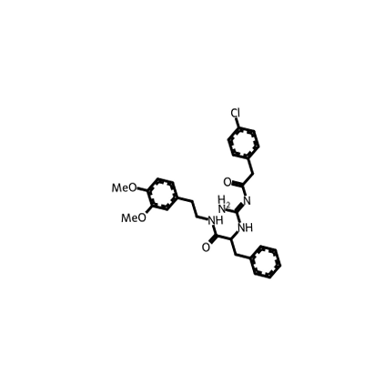 COc1ccc(CCNC(=O)C(Cc2ccccc2)NC(N)=NC(=O)Cc2ccc(Cl)cc2)cc1OC